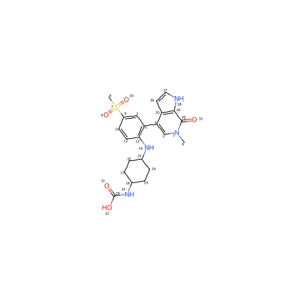 Cn1cc(-c2cc(S(C)(=O)=O)ccc2NC2CCC(NC(=O)O)CC2)c2cc[nH]c2c1=O